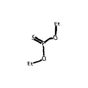 CCO[P](=S)OCC